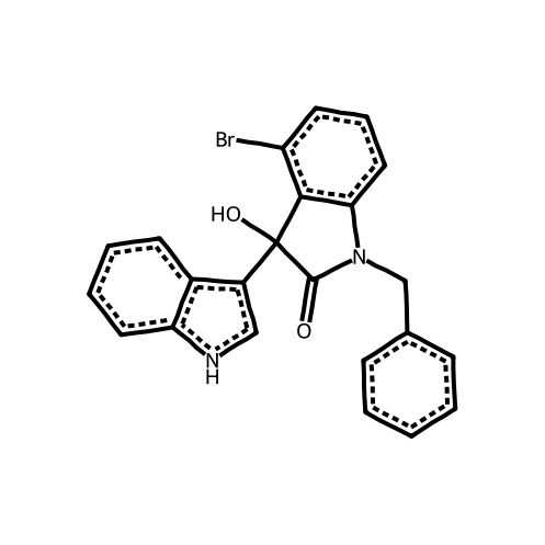 O=C1N(Cc2ccccc2)c2cccc(Br)c2C1(O)c1c[nH]c2ccccc12